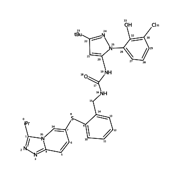 CC(C)c1nnc2ccc(Sc3ccccc3CNC(=O)Nc3cc(C(C)(C)C)nn3-c3cccc(Cl)c3O)cn12